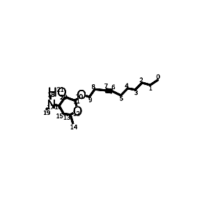 CCCCCCC#CCCOC1OC(C)CC(N(C)C)C1O